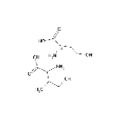 CCC(C)C(N)C(=O)O.N[C@@H](CCO)C(=O)O